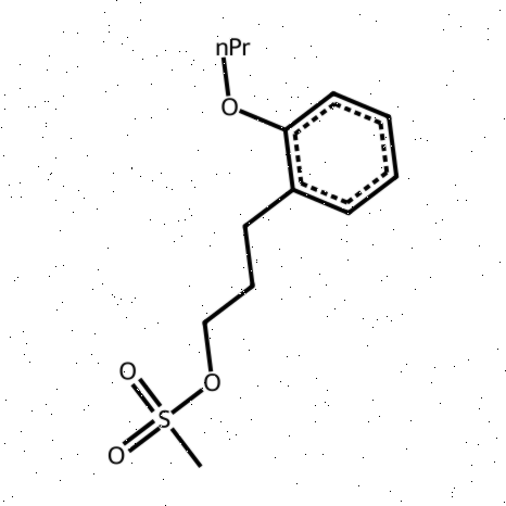 CCCOc1ccccc1CCCOS(C)(=O)=O